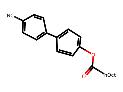 CCCCCCCCC(=O)Oc1ccc(-c2ccc(C#N)cc2)cc1